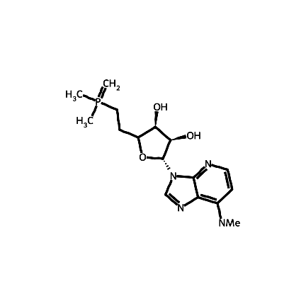 C=P(C)(C)CCC1O[C@@H](n2cnc3c(NC)ccnc32)[C@H](O)[C@@H]1O